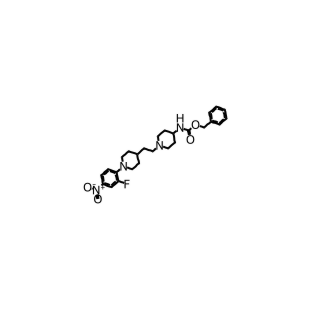 O=C(NC1CCN(CCC2CCN(c3ccc([N+](=O)[O-])cc3F)CC2)CC1)OCc1ccccc1